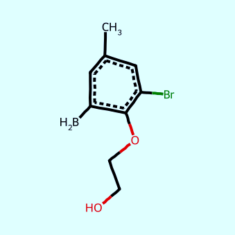 Bc1cc(C)cc(Br)c1OCCO